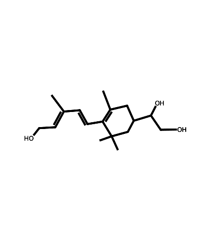 CC(C=CC1=C(C)CC(C(O)CO)CC1(C)C)=CCO